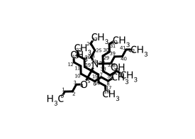 CCCCOC(CCCC)(CCCC)C(CCCC)(CCCC)N(CCCC)C(CCCC)(CCCC)C(O)CCCC